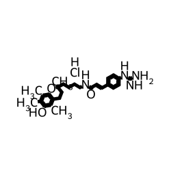 Cc1c(C)c2c(c(C)c1O)CCC(C)(CCCCNC(=O)C=Cc1ccc(NC(=N)N)cc1)O2.Cl